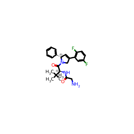 CC(C)(C)[C@H](NC(=O)CN)C(=O)N1CC(c2cc(F)ccc2F)=C[C@H]1c1ccccc1